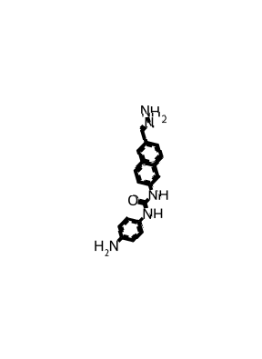 NN=Cc1ccc2cc(NC(=O)Nc3ccc(N)cc3)ccc2c1